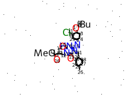 CC[C@@H](C)Oc1ccc(/N=c2\[nH]c(=O)n(C[C@H](C)C(=O)OC)c(=O)n2Cc2ccc(C)cc2)cc1Cl